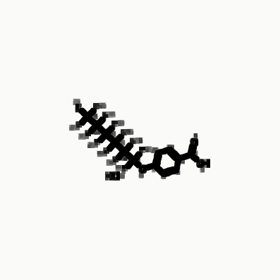 Cl.O=C(O)c1ccc(OC(F)(F)C(F)(F)C(F)(F)C(F)(F)C(F)(F)C(F)(F)F)cc1